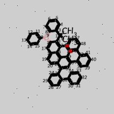 CC1(C)c2ccccc2B(c2ccccc2)c2cc3ccc4c(-c5ccccc5-c5ccccc5)cc(-c5ccccc5-c5ccccc5)c5ccc(c21)c3c45